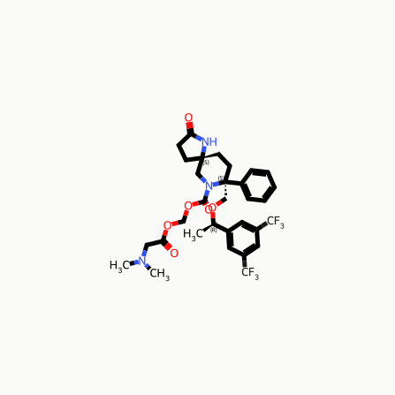 C[C@@H](OC[C@@]1(c2ccccc2)CC[C@]2(CCC(=O)N2)CN1C(=O)OCOC(=O)CN(C)C)c1cc(C(F)(F)F)cc(C(F)(F)F)c1